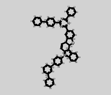 C1=CC2c3cc(-c4nc(-c5ccccc5)nc(-c5ccc(-c6ccccc6)cc5)n4)ccc3OC2c2c1n(-c1ccc(-c3cccc(-c4ccccc4)c3)cc1)c1ccccc21